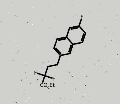 CCOC(=O)C(F)(F)CCc1ccc2cc(F)ccc2c1